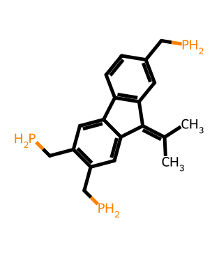 CC(C)=C1c2cc(CP)ccc2-c2cc(CP)c(CP)cc21